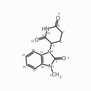 Cn1c(=O)n(C2CCC(=O)NC2=O)c2ccc[c]c21